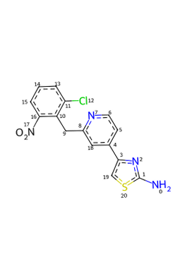 Nc1nc(-c2ccnc(Cc3c(Cl)cccc3[N+](=O)[O-])c2)cs1